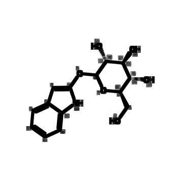 OC[C@H]1OC(Oc2cc3ccccc3[nH]2)[C@H](O)[C@@H](O)[C@@H]1O